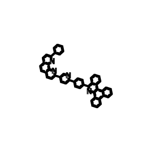 c1ccc(-c2ccc3ccc4ccc(-c5ccc(-c6ccc(-c7nc8c9ccccc9c9ccccc9c8c8ccccc78)cc6)nc5)nc4c3n2)cc1